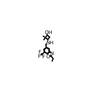 CCc1nc2cc(CNC3CC(O)C3(C)C)cc(C(F)(F)F)c2o1